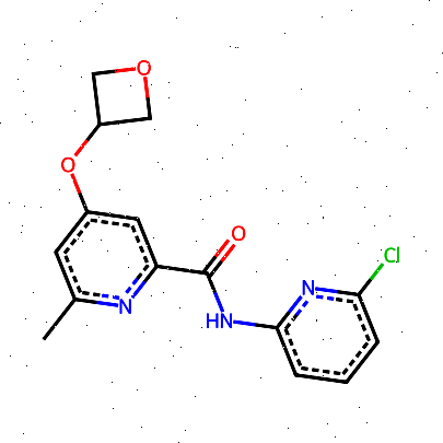 Cc1cc(OC2COC2)cc(C(=O)Nc2cccc(Cl)n2)n1